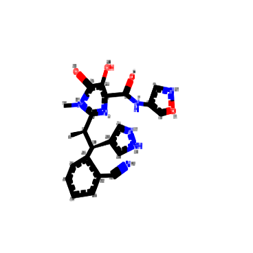 C[C@@H](c1nc(C(=O)Nc2cnoc2)c(O)c(=O)n1C)[C@@H](c1cn[nH]c1)c1ccccc1C#N